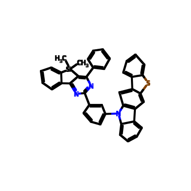 C[Si]1(C)c2ccccc2-c2nc(-c3cccc(-n4c5ccccc5c5cc6sc7ccccc7c6cc54)c3)nc(-c3ccccc3)c21